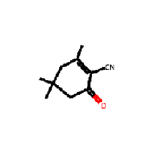 CC1=C(C#N)C(=O)CC(C)(C)C1